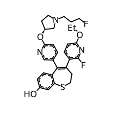 CCOc1ccc(C2=C(c3ccc(O[C@H]4CCN(CCCF)C4)nc3)c3ccc(O)cc3SCC2)c(F)n1